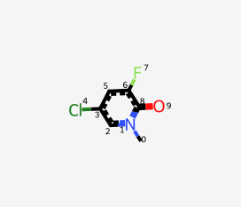 Cn1cc(Cl)cc(F)c1=O